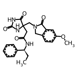 CC[C@H](NC(=O)CC1(CN2Cc3ccc(OC)cc3C2=O)NC(=O)NC1=O)c1ccccc1